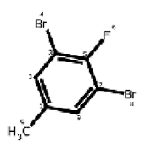 Cc1cc(Br)c(F)c(Br)c1